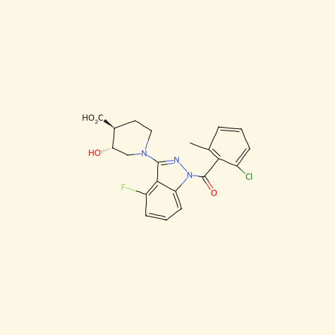 Cc1cccc(Cl)c1C(=O)n1nc(N2CC[C@H](C(=O)O)[C@@H](O)C2)c2c(F)cccc21